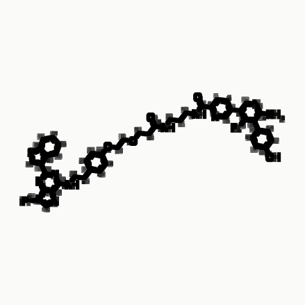 CCc1c(-c2ccc(C(=O)NCCCNC(=O)CCOCCOc3ccc(CCNc4nc(-c5csc6ccccc56)nc5c4ncn5C(C)C)cc3)nc2)cnc(N)c1-c1ccc(O)cc1